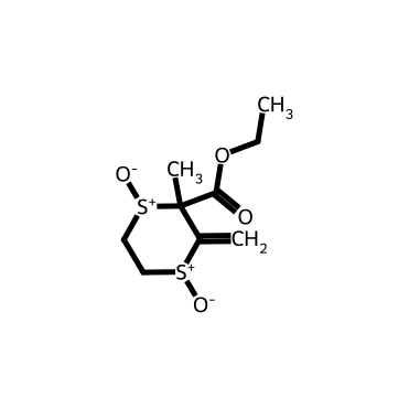 C=C1[S+]([O-])CC[S+]([O-])C1(C)C(=O)OCC